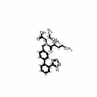 CCCC(N)C(=O)N(Cc1ccc(-c2ccccc2-c2nnn[nH]2)cc1)[C@H](C(=O)O)C(C)C